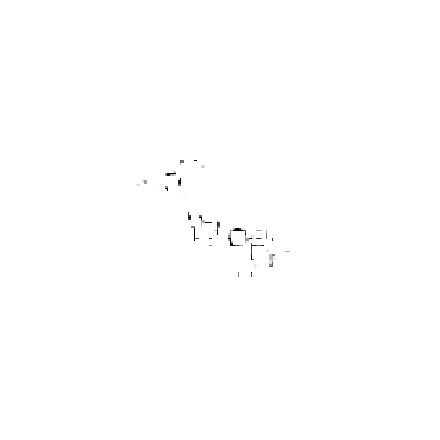 COc1cc(CCc2cc(NC(=O)C3=CCC(C)(N4C[C@@H](C)N[C@@H](C)C4)C=C3)[nH]n2)cc(OC)c1